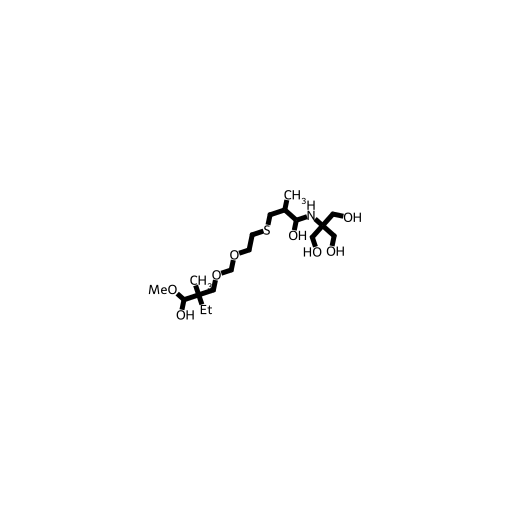 CCC(C)(COCOCCSCC(C)C(O)NC(CO)(CO)CO)C(O)OC